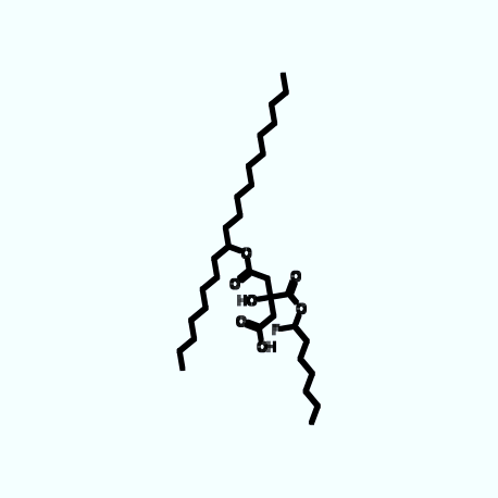 CCCCCCCCCCCC(CCCCCCCC)OC(=O)CC(O)(CC(=O)O)C(=O)OC(F)CCCCCC